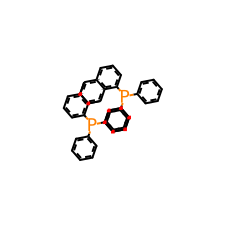 c1ccc(P(c2ccccc2)c2cccc3c4c5cccc(P(c6ccccc6)c6ccccc6)c5c(c23)CC4)cc1